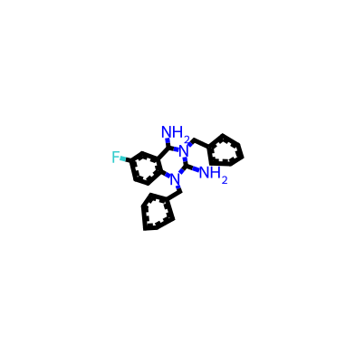 NC1c2cc(F)ccc2N(Cc2ccccc2)C(N)N1Cc1ccccc1